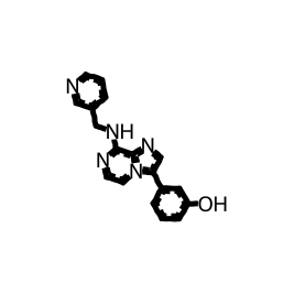 Oc1cccc(-c2cnc3c(NCc4cccnc4)nccn23)c1